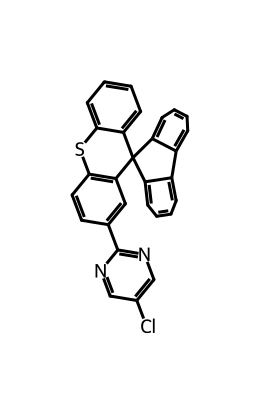 Clc1cnc(-c2ccc3c(c2)C2(c4ccccc4S3)c3ccccc3-c3ccccc32)nc1